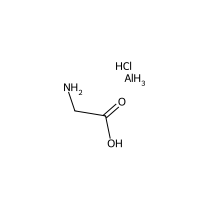 Cl.NCC(=O)O.[AlH3]